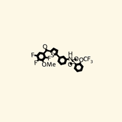 COc1c(F)c(F)cc(C(=O)c2ccc(-c3cccc(NS(=O)(=O)c4ccccc4OC(F)(F)F)c3)s2)c1F